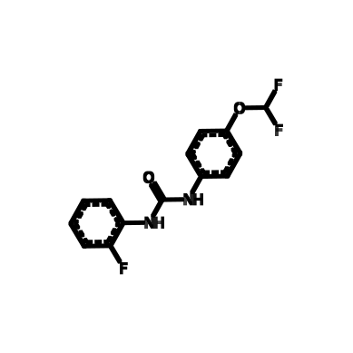 O=C(Nc1ccc(OC(F)F)cc1)Nc1ccccc1F